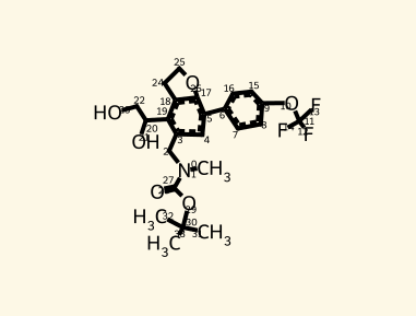 CN(Cc1cc(-c2ccc(OC(F)(F)F)cc2)c2c(c1C(O)CO)CCO2)C(=O)OC(C)(C)C